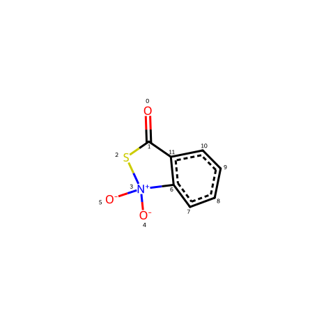 O=C1S[N+]([O-])([O-])c2ccccc21